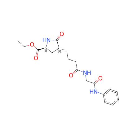 CCOC(=O)[C@@H]1C[C@@H](CCCC(=O)NCC(=O)Nc2ccccc2)C(=O)N1